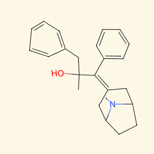 CN1C2CCC1CC(=C(c1ccccc1)C(C)(O)Cc1ccccc1)C2